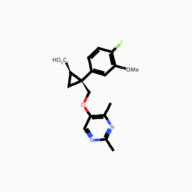 COc1cc([C@]2(COc3cnc(C)nc3C)C[C@H]2C(=O)O)ccc1F